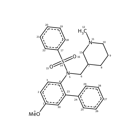 COc1ccc(N(CC2CCCN(C)C2)S(=O)(=O)c2ccccc2)c(-c2ccccc2)c1